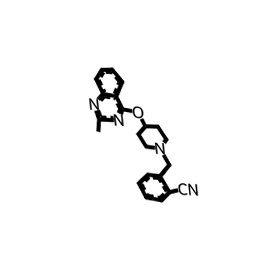 Cc1nc(OC2CCN(Cc3ccccc3C#N)CC2)c2ccccc2n1